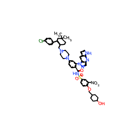 CC1(C)CCC(CN2CCN(c3ccc(C(=O)NS(=O)(=O)c4ccc(OCC5CCC(O)CC5)c([N+](=O)[O-])c4)c(-n4ncc5nc6[nH]ccc6cc54)c3)CC2)=C(c2ccc(Cl)cc2)C1